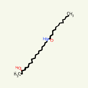 CCCCCCCCCCCCCC(=O)NCCCCCCCCCCCCCC=CC(O)CC